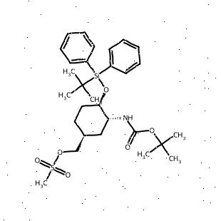 CC(C)(C)OC(=O)N[C@@H]1C[C@@H](COS(C)(=O)=O)CC[C@H]1O[Si](c1ccccc1)(c1ccccc1)C(C)(C)C